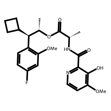 COc1cc(F)ccc1[C@@H](C1CCC1)[C@H](C)OC(=O)[C@H](C)NC(=O)c1nccc(OC)c1O